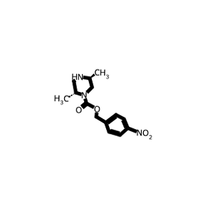 C[C@@H]1CN[C@@H](C)CN1C(=O)OCc1ccc([N+](=O)[O-])cc1